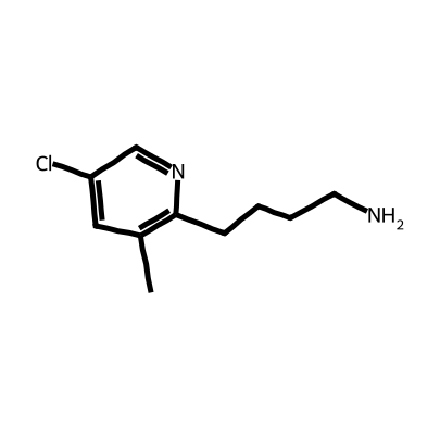 Cc1cc(Cl)cnc1CCCCN